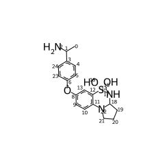 CC(N)c1ccc(Oc2ccc3c(c2)S(O)(O)NC2CCCN32)cc1